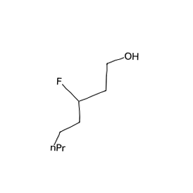 CCCCCC(F)CCO